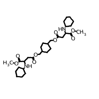 COC(=O)C(CC(=O)OCC1CCC(COC(=O)CC(NC2CCCCC2)C(=O)OC)CC1)NC1CCCCC1